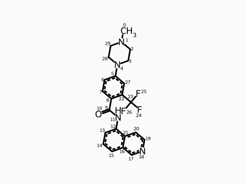 CN1CCN(c2ccc(C(=O)Nc3cccc4cnccc34)c(C(F)(F)F)c2)CC1